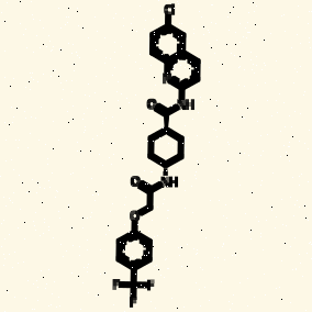 O=C(COc1ccc(C(F)(F)F)cc1)N[C@H]1CC[C@H](C(=O)Nc2ccc3cc(Cl)ccc3n2)CC1